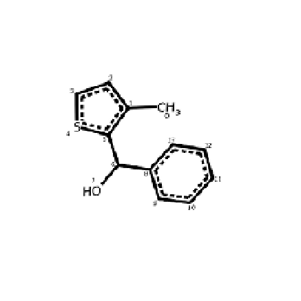 Cc1ccsc1C(O)c1ccccc1